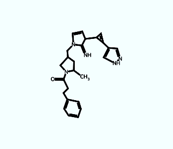 CC1CC(CN2C=CC(C3C=C3c3cn[nH]c3)C2=N)CN1C(=O)CCc1ccccc1